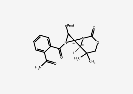 CCCCCC1N(C(=O)c2ccccc2C(N)=O)[C@]12[C@H]1N2C(=O)OCC1(C)C